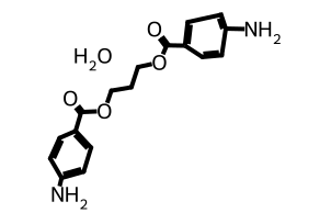 Nc1ccc(C(=O)OCCCOC(=O)c2ccc(N)cc2)cc1.O